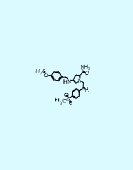 [2H]C(CN1CC(NCc2ccc(OC)cc2)CC1C(N)=O)c1ccc(S(C)(=O)=O)cc1